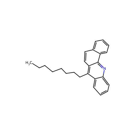 CCCCCCCCc1c2ccccc2nc2c1ccc1ccccc12